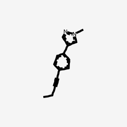 CCC#Cc1ccc(-c2cnn(C)c2)cc1